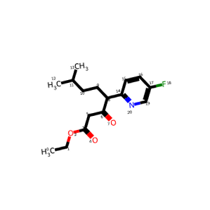 CCOC(=O)CC(=O)C(CCC(C)C)c1ccc(F)cn1